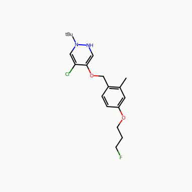 Cc1cc(OCCCF)ccc1COC1=CNN(C(C)(C)C)C=C1Cl